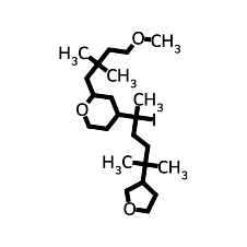 COCCC(C)(C)CC1CC(C(C)(I)CCC(C)(C)C2CCOC2)CCO1